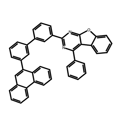 c1ccc(-c2nc(-c3cccc(-c4cccc(-c5cc6ccccc6c6ccccc56)c4)c3)nc3oc4ccccc4c23)cc1